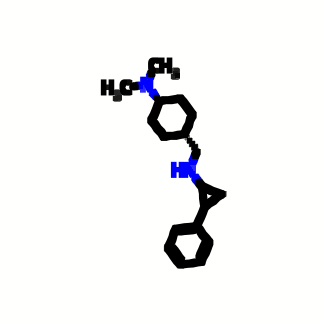 CN(C)[C@H]1CC[C@H](CNC2CC2c2ccccc2)CC1